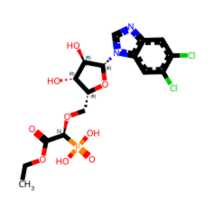 CCOC(=O)[C@@H](OC[C@H]1O[C@@H](n2cnc3cc(Cl)c(Cl)cc32)[C@H](O)[C@H]1O)P(=O)(O)O